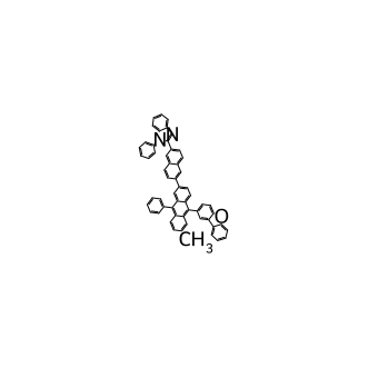 Cc1ccc2c(-c3ccccc3)c3cc(-c4ccc5cc(-c6nc7ccccc7n6-c6ccccc6)ccc5c4)ccc3c(-c3ccc4oc5ccccc5c4c3)c2c1